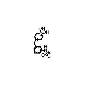 CCS(=O)(=O)Nc1cccc(CN2CCS(O)(O)CC2)c1